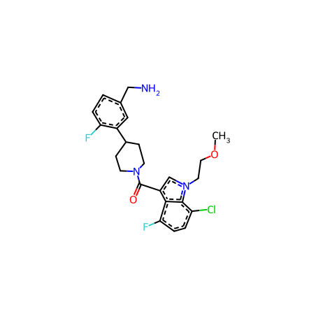 COCCn1cc(C(=O)N2CCC(c3cc(CN)ccc3F)CC2)c2c(F)ccc(Cl)c21